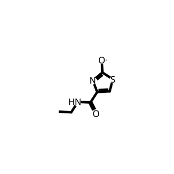 CCNC(=O)c1csc([O])n1